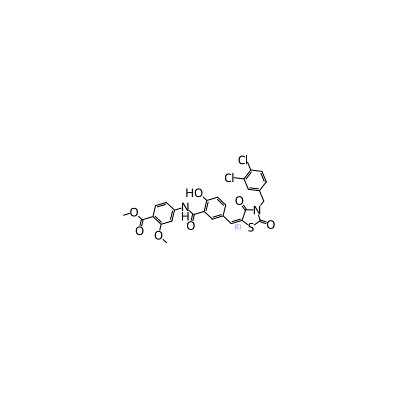 COC(=O)c1ccc(NC(=O)c2cc(/C=C3/SC(=O)N(Cc4ccc(Cl)c(Cl)c4)C3=O)ccc2O)cc1OC